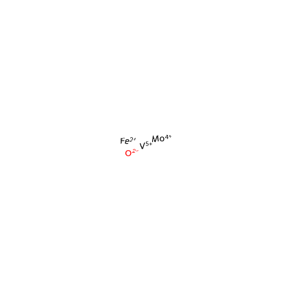 [Fe+2].[Mo+4].[O-2].[V+5]